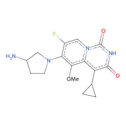 COc1c(N2CCC(N)C2)c(F)cn2c(=O)[nH]c(=O)c(C3CC3)c12